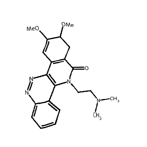 COC1=Cc2c(c(=O)n(CCN(C)C)c3c2nnc2ccccc23)CC1OC